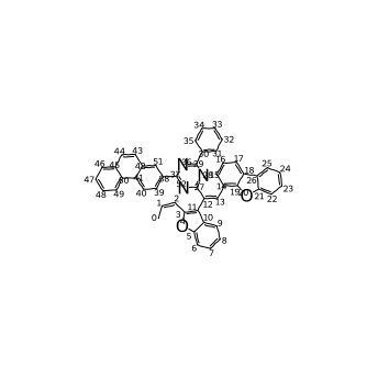 C/C=C\c1oc2ccccc2c1/C(=C/c1cccc2c1oc1ccccc12)c1nc(-c2ccccc2)nc(-c2ccc3c(ccc4ccccc43)c2)n1